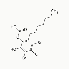 CCCCCCCc1c(Br)c(Br)c(Br)c(O)c1OC(=O)O